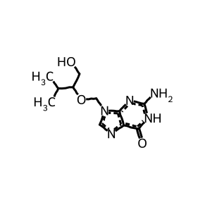 CC(C)C(CO)OCn1cnc2c(=O)[nH]c(N)nc21